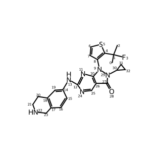 CC(C)(F)c1sccc1-n1c2nc(Nc3ccc4c(c3)CCNC4)ncc2c(=O)n1C1CC1